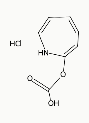 Cl.O=C(O)OC1=CC=CC=CN1